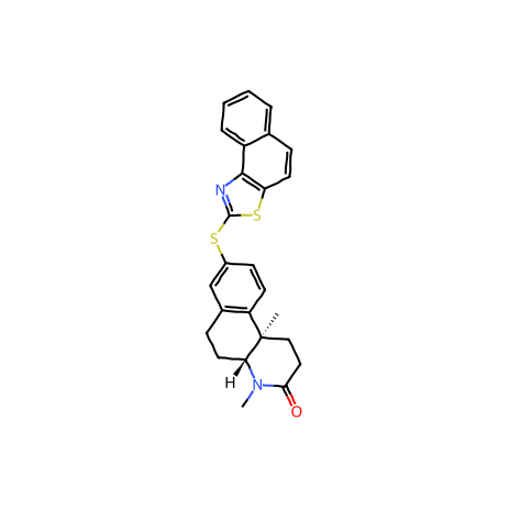 CN1C(=O)CC[C@]2(C)c3ccc(Sc4nc5c(ccc6ccccc65)s4)cc3CC[C@@H]12